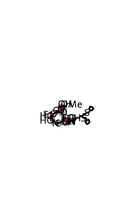 CC[C@H]1OC2OC2[C@H](C)[C@@H](O[C@H]2C[C@@](C)(OC)[C@@H](O)[C@H](C)O2)[C@H](C)[C@@H](O[C@@H]2O[C@H](C)C[C@H](N(C)C(=O)CCCCC(CCSCc3ccccc3)SCc3ccccc3)[C@H]2O)[C@](C)(O)C[C@@H](C)CN(C)[C@H](C)[C@@H](O)[C@]1(C)O